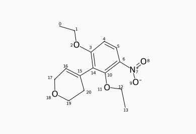 CCOc1ccc([N+](=O)[O-])c(OCC)c1C1=CCOCC1